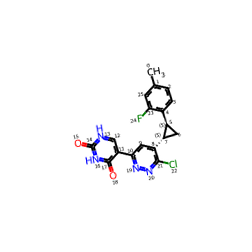 Cc1ccc([C@H]2C[C@@H]2c2cc(-c3c[nH]c(=O)[nH]c3=O)nnc2Cl)c(F)c1